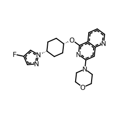 Fc1cnn([C@H]2CC[C@@H](Oc3nc(N4CCOCC4)cc4ncccc34)CC2)c1